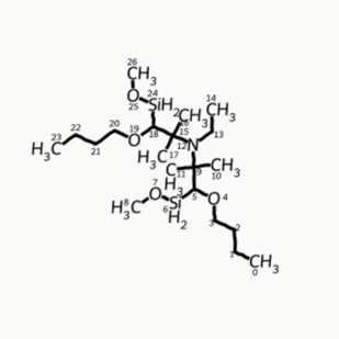 CCCCOC([SiH2]OC)C(C)(C)N(CC)C(C)(C)C(OCCCC)[SiH2]OC